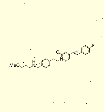 COCCCNCc1ccc(CCn2ccc(/C=C/c3ccc(F)cc3)cc2=O)cc1